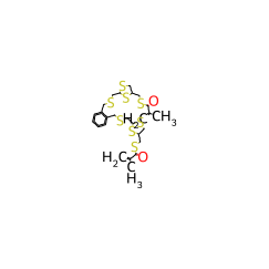 C=C(C)C(=O)SCC1CSC(CSCc2ccccc2CSCC2SCC(CSC(=O)C(=C)C)S2)S1